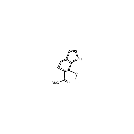 COC(=O)c1ccc2cc[nH]c2c1OC(F)(F)F